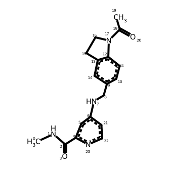 CNC(=O)c1cc(NCc2ccc3c(c2)CCN3C(C)=O)ccn1